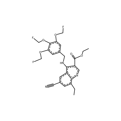 CCOC(=O)c1cnc2c(CC)cc(C#N)cc2c1NCc1cc(OCF)c(OCF)c(OCF)c1